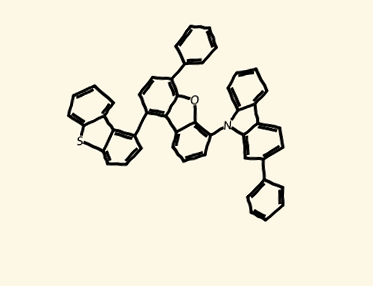 c1ccc(-c2ccc3c4ccccc4n(-c4cccc5c4oc4c(-c6ccccc6)ccc(-c6cccc7sc8ccccc8c67)c45)c3c2)cc1